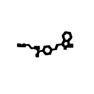 COCCNC(=O)c1ccc(/C=C/c2n[nH]c3ccccc23)cc1